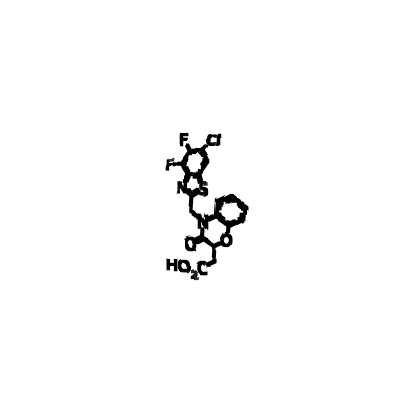 O=C(O)CC1Oc2ccccc2N(Cc2nc3c(F)c(F)c(Cl)cc3s2)C1=O